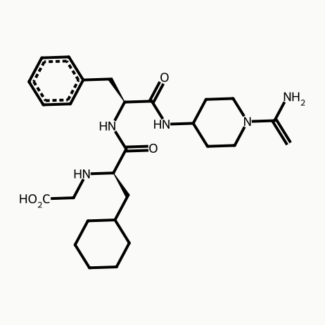 C=C(N)N1CCC(NC(=O)[C@H](Cc2ccccc2)NC(=O)[C@@H](CC2CCCCC2)NCC(=O)O)CC1